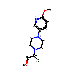 COc1ccc(N2CCN(C(Cl)C=O)CC2)cn1